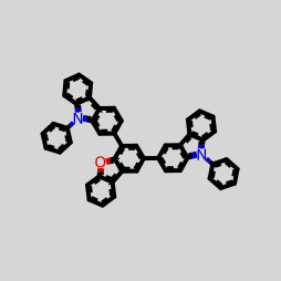 c1ccc(-n2c3ccccc3c3cc(-c4cc(-c5ccc6c7ccccc7n(-c7ccccc7)c6c5)c5oc6ccccc6c5c4)ccc32)cc1